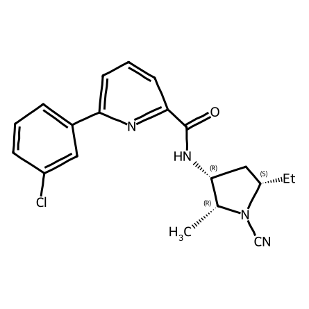 CC[C@H]1C[C@@H](NC(=O)c2cccc(-c3cccc(Cl)c3)n2)[C@@H](C)N1C#N